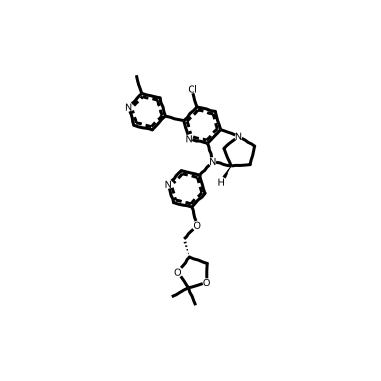 Cc1cc(-c2nc3c(cc2Cl)N2CC[C@@H](C2)N3c2cncc(OC[C@@H]3COC(C)(C)O3)c2)ccn1